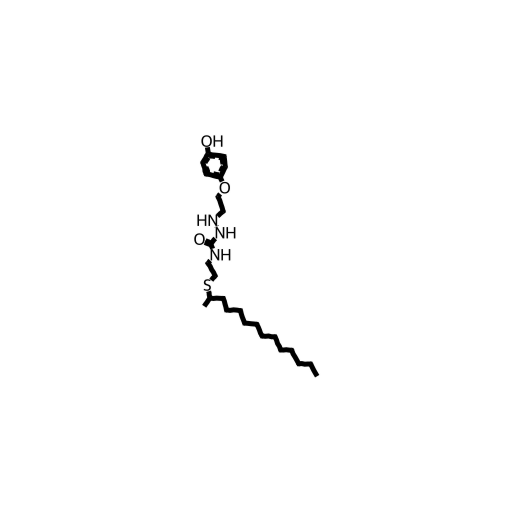 CCCCCCCCCCCCC(C)SCCNC(=O)NNCCOc1ccc(O)cc1